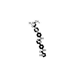 CN(C)CC(=O)N1CCN(c2ccc(Nc3nccc(-c4ccc(NC(=O)C5CCCN5)cc4)n3)cc2)CC1